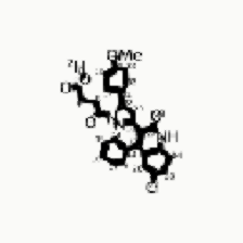 [2H]OC(=O)CCC(=O)N1N=C(c2c(-c3ccccc3)c3cc(Cl)ccc3[nH]c2=O)CC1c1ccc(OC)cc1